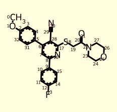 COc1ccc(-c2cc(-c3ccc(F)cc3)nc(SCC(=O)N3CCOCC3)c2C#N)cc1